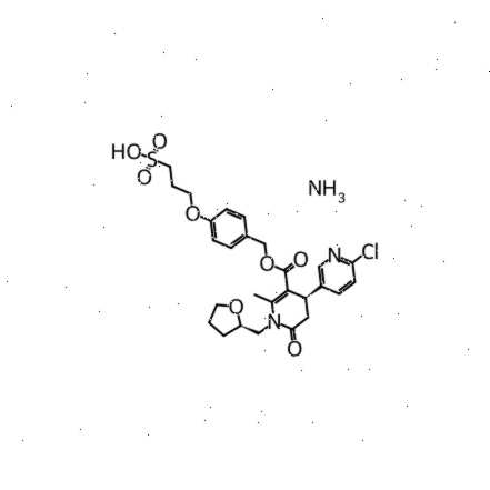 CC1=C(C(=O)OCc2ccc(OCCCS(=O)(=O)O)cc2)[C@@H](c2ccc(Cl)nc2)CC(=O)N1C[C@H]1CCCO1.N